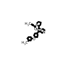 CC#CC(=O)N1CCCCC1c1nc(-c2ccc(Oc3cccc(C)c3)cc2)c2cnccn12